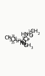 C=CC(=O)Nc1ccc2c(c1)c(C=Cc1ccc(Cl)cc1)nn2C